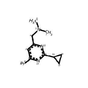 CC(C)c1cc(CN(C)C)nc(C2CC2)n1